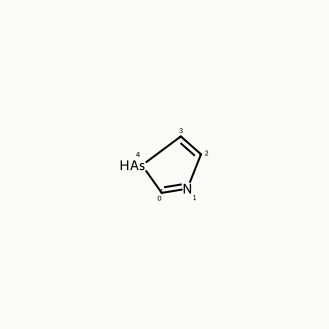 [C]1=NC=C[AsH]1